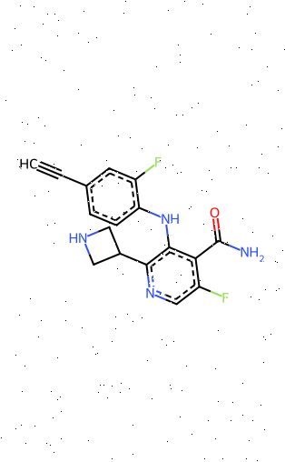 C#Cc1ccc(Nc2c(C3CNC3)ncc(F)c2C(N)=O)c(F)c1